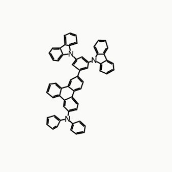 c1ccc(N(c2ccccc2)c2ccc3c4ccc(-c5cc(-n6c7ccccc7c7ccccc76)cc(-n6c7ccccc7c7ccccc76)c5)cc4c4ccccc4c3c2)cc1